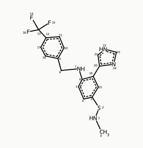 CNSc1ccc(NCc2ccc(C(F)(F)F)cc2)c(-c2c[nH]cn2)c1